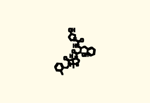 Cc1ccccc1CN1C(=O)[C@H]2N(C(=O)[C@@H](O)[C@H](Cc3ccccc3)NC(=O)N3CC[C@@H](O)C3)CSC21C